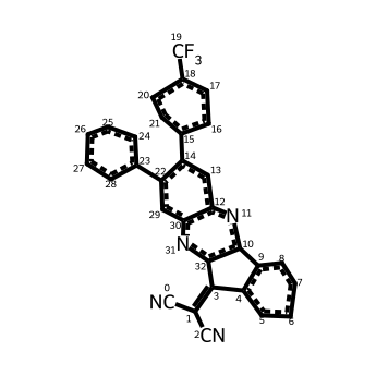 N#CC(C#N)=C1c2ccccc2-c2nc3cc(-c4ccc(C(F)(F)F)cc4)c(-c4ccccc4)cc3nc21